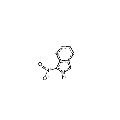 O=[N+]([O-])c1[nH]cc2ccccc12